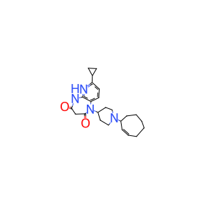 O=C1CC(=O)N(C2CCN(C3/C=C\CCCCC3)CC2)c2ccc(C3CC3)nc2N1